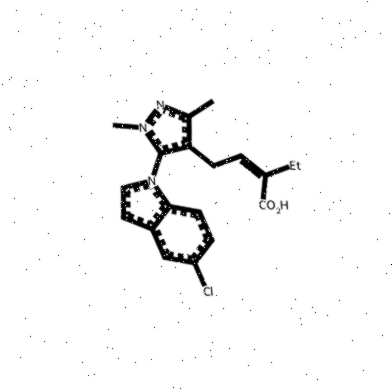 CCC(=CCc1c(C)nn(C)c1-n1ccc2cc(Cl)ccc21)C(=O)O